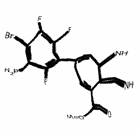 COC(=O)C1=CC(c2c(F)c(F)c(Br)c(P)c2F)=CC(=N)C1=N